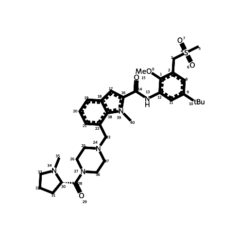 COc1c(CS(C)(=O)=O)cc(C(C)(C)C)cc1NC(=O)c1cc2cccc(CN3CCN(C(=O)[C@@H]4CCCN4C)CC3)c2n1C